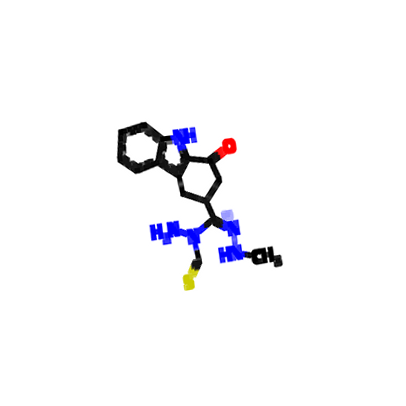 CN/N=C(/C1CC(=O)c2[nH]c3ccccc3c2C1)N(N)C=S